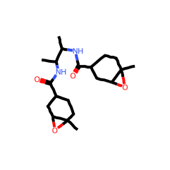 CC(NC(=O)C1CCC2(C)OC2C1)C(C)NC(=O)C1CCC2(C)OC2C1